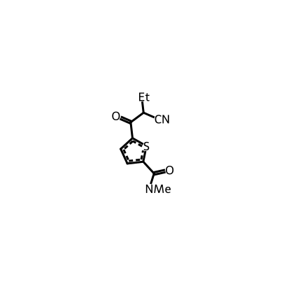 CCC(C#N)C(=O)c1ccc(C(=O)NC)s1